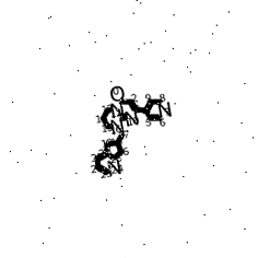 O=c1cc(-c2ccncc2)nc2n1CCCN2CC1Cc2cccnc2C1